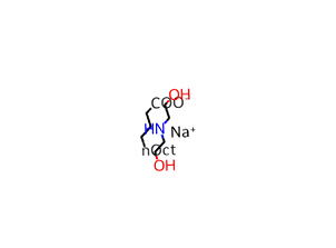 CCCCCCCCCCCC(=O)[O-].OCCNCCO.[Na+]